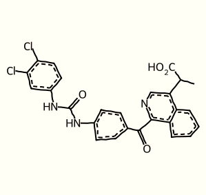 CC(C(=O)O)c1cnc(C(=O)c2ccc(NC(=O)Nc3ccc(Cl)c(Cl)c3)cc2)c2ccccc12